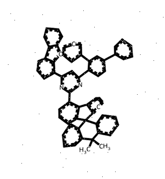 CC1(C)c2ccccc2C2(c3ccccc3-c3c(-c4nc(-c5ccc(-c6ccccc6)cc5-c5ccccc5)cc(-c5cccc6c5oc5ccccc56)n4)cccc32)c2ccccc21